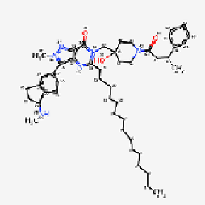 CCCCCCCCCCCCCCCc1nc2c(-c3ccc4c(c3)CCC4NC)n(C)nc2c(=O)n1CC1(O)CCN(C(=O)C[C@@H](C)c2ccccc2)CC1